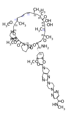 CNC(=O)c1cnc(N2CCN(c3ncc4c(n3)CCN(C(=O)O[C@@H]3CC[C@@H](C[C@@H](N)[C@@H]5CC(=O)[C@H](C)/C=C(\C)[C@@H](O)[C@@H](O)C(=O)[C@H](C)C[C@H](C)/C=C/C=C/C=C(\C)[C@@H](OC)C[C@@H]6CC[C@@H](C)[C@@](O)(O6)C(=O)C(=O)N6CCCC[C@H]6C(=O)O5)C[C@H]3OC)C4)CC2)nc1